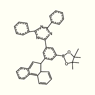 CC1(C)OB(c2cc(-c3nc(-c4ccccc4)nc(-c4ccccc4)n3)cc(C3C=c4ccccc4=C4C=CC=CC43)c2)OC1(C)C